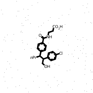 CCCC(c1ccc(C(=O)NCCC(=O)O)cc1)C(CO)c1ccc(Cl)cc1